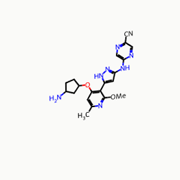 COc1nc(C)cc(OC2CCC(N)C2)c1-c1cc(Nc2cnc(C#N)cn2)n[nH]1